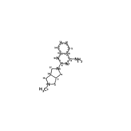 CN1CC2CN(c3nc(N)c4ccccc4n3)CC2C1